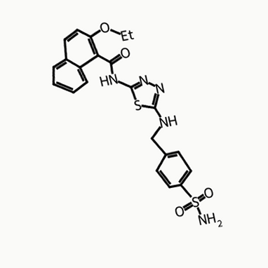 CCOc1ccc2ccccc2c1C(=O)Nc1nnc(NCc2ccc(S(N)(=O)=O)cc2)s1